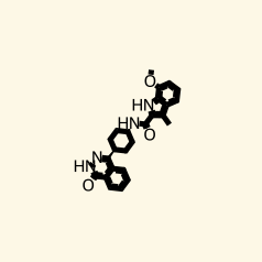 COc1cccc2c(C)c(C(=O)N[C@H]3CC[C@H](c4n[nH]c(=O)c5ccccc54)CC3)[nH]c12